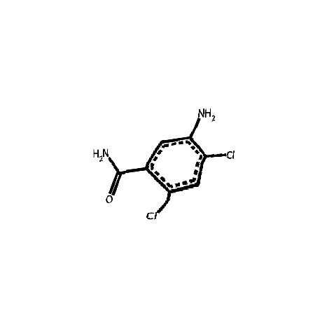 NC(=O)c1cc(N)c(Cl)cc1Cl